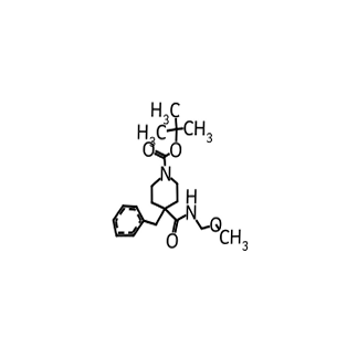 COCNC(=O)C1(Cc2ccccc2)CCN(C(=O)OC(C)(C)C)CC1